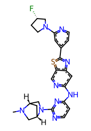 CN1C[C@@H]2C[C@H]1CN2c1nccc(Nc2cc3nc(-c4ccnc(N5CC[C@H](F)C5)c4)sc3cn2)n1